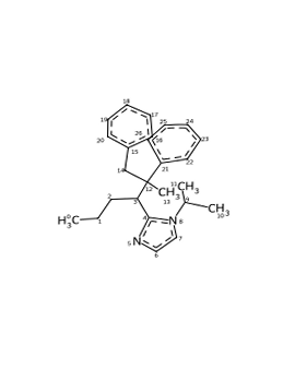 CCCC(c1nccn1C(C)C)C(C)(Cc1ccccc1)c1ccccc1